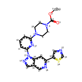 CC(C)(C)OC(=O)N1CCN(c2cccc(-n3ncc4cnc(-c5cncs5)cc43)n2)CC1